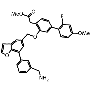 COC(=O)Cc1ccc(-c2ccc(OC)cc2F)cc1OCc1cc(-c2cccc(CN)c2)c2occc2c1